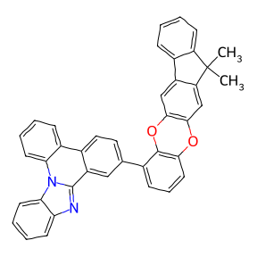 CC1(C)c2ccccc2-c2cc3c(cc21)Oc1cccc(-c2ccc4c5ccccc5n5c6ccccc6nc5c4c2)c1O3